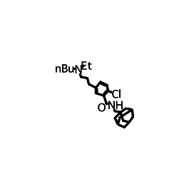 CCCCN(CC)CCCc1ccc(Cl)c(C(=O)NCC23CC4CC(CC(C4)C2)C3)c1